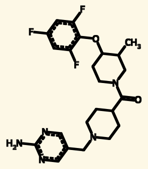 CC1CN(C(=O)C2CCN(Cc3cnc(N)nc3)CC2)CCC1Oc1c(F)cc(F)cc1F